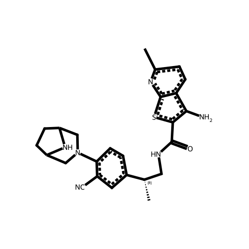 Cc1ccc2c(N)c(C(=O)NC[C@H](C)c3ccc(N4CC5CCC(C4)N5)c(C#N)c3)sc2n1